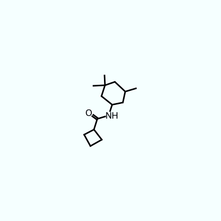 CC1CC(NC(=O)C2CCC2)CC(C)(C)C1